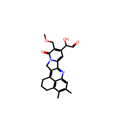 COCc1c(C(O)C=O)cc2n(c1=O)Cc1c-2nc2cc(C)c(C)c3c2c1CCC3